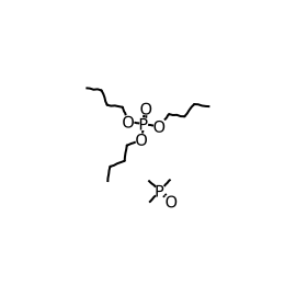 CCCCOP(=O)(OCCCC)OCCCC.CP(C)(C)=O